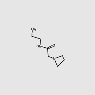 O=C(CN1CCC1)NCCO